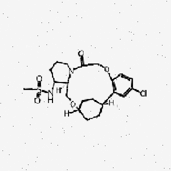 CS(=O)(=O)N[C@H]1CCCN2C(=O)COc3ccc(Cl)cc3[C@H]3CC[C@H](CC3)OC[C@@H]12